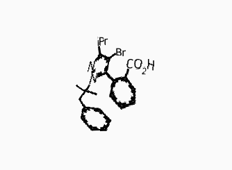 CC(C)c1nn(C(C)(C)Cc2ccccc2)c(-c2ccccc2C(=O)O)c1Br